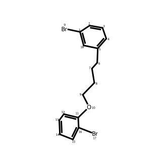 Brc1cccc(CCCCOc2ccccc2Br)c1